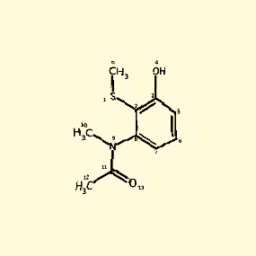 CSc1c(O)cccc1N(C)C(C)=O